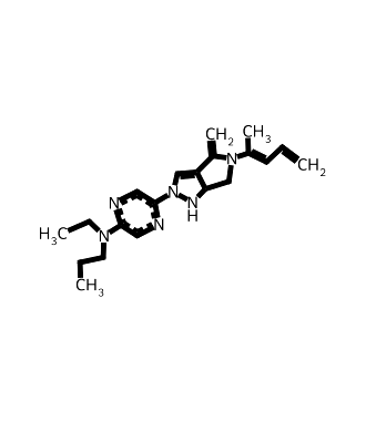 C=C/C=C(\C)N1CC2NN(c3cnc(N(CC)CCC)cn3)C=C2C1=C